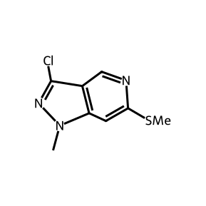 CSc1cc2c(cn1)c(Cl)nn2C